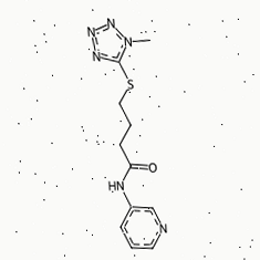 Cn1nnnc1SCCCC(=O)Nc1cccnc1